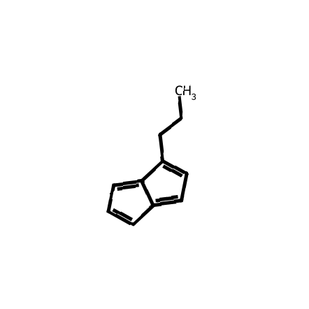 CCCC1=CC=C2C=CC=C21